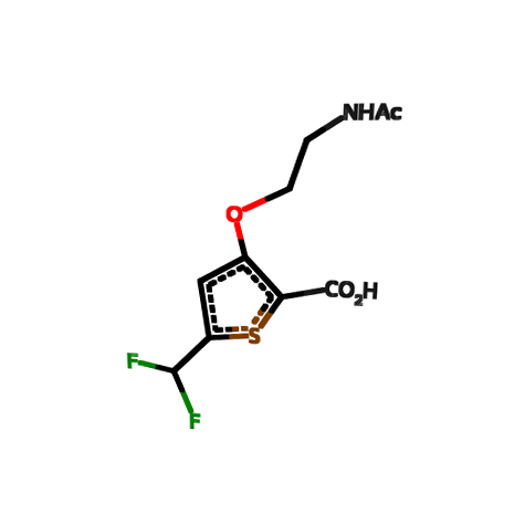 CC(=O)NCCOc1cc(C(F)F)sc1C(=O)O